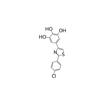 Oc1cc(-c2csc(-c3ccc(Cl)cc3)n2)cc(O)c1O